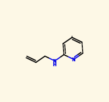 C=CCNc1c[c]ccn1